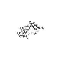 BC(=O)C(C)(C)CC(C)(C)c1ccc(N2C(=O)CC(SC(C)CCC)C2=O)cc1